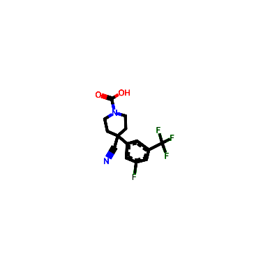 N#CC1(c2cc(F)cc(C(F)(F)F)c2)CCN(C(=O)O)CC1